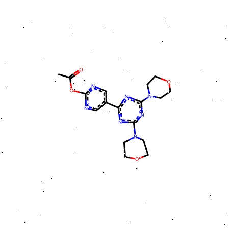 CC(=O)Oc1ncc(-c2nc(N3CCOCC3)nc(N3CCOCC3)n2)cn1